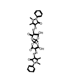 Cc1c(N=NC2=C(O)OC(C)(C3(C)OC(=O)C(N=Nc4c(C)n(C)n(-c5ccccc5)c4=O)=C(O)O3)OC2=O)c(=O)n(-c2ccccc2)n1C